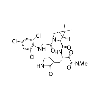 CNC(=O)C(=O)[C@H](CC1CCNC1=O)NC(=O)[C@@H]1[C@@H]2C(CN1C(=O)CNc1c(Cl)cc(Cl)cc1Cl)C2(C)C